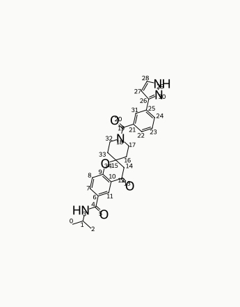 CC(C)NC(=O)c1ccc2c(c1)C(=O)CC1(CCN(C(=O)c3cccc(-c4cc[nH]n4)c3)CC1)O2